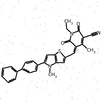 CCN1C(=O)C(C#N)=C(C)/C(=C/c2cc3c(cc(-c4ccc(-c5ccccc5)cc4)n3C)s2)C1=O